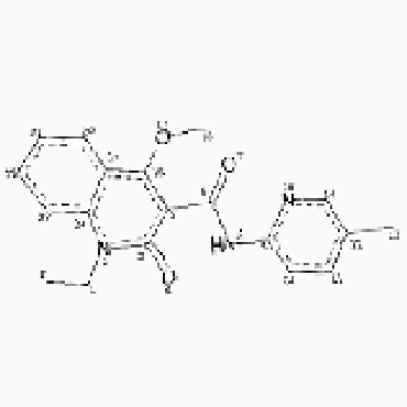 CCn1c(=O)c(C(=O)Nc2ccc(C)cn2)c(OC)c2ccccc21